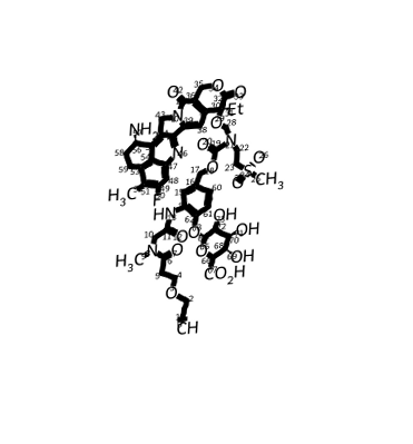 C#CCOCCC(=O)N(C)CC(=O)Nc1cc(COC(=O)N(CCS(C)(=O)=O)CO[C@]2(CC)C(=O)OCc3c2cc2n(c3=O)Cc3c-2nc2cc(F)c(C)c4c2c3[C@@H](N)CC4)ccc1O[C@@H]1OC(C(=O)O)[C@@H](O)[C@H](O)C1O